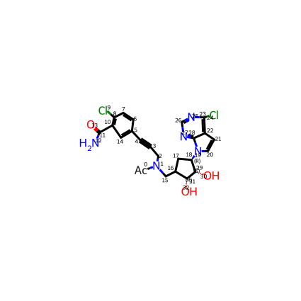 CC(=O)N(CC#Cc1ccc(Cl)c(C(N)=O)c1)CC1C[C@@H](n2ccc3c(Cl)ncnc32)[C@H](O)[C@@H]1O